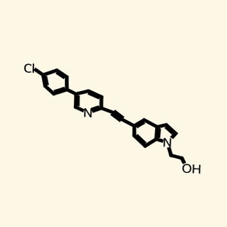 OCCn1ccc2cc(C#Cc3ccc(-c4ccc(Cl)cc4)cn3)ccc21